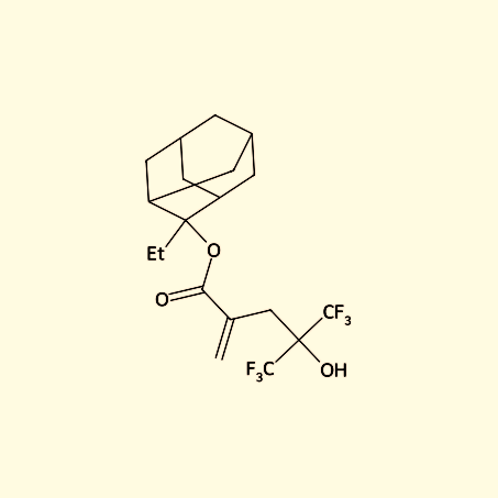 C=C(CC(O)(C(F)(F)F)C(F)(F)F)C(=O)OC1(CC)C2CC3CC(C2)CC1C3